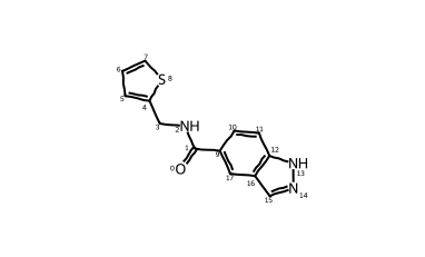 O=C(NCc1cccs1)c1ccc2[nH]ncc2c1